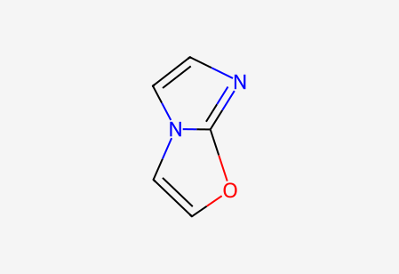 c1cn2ccoc2n1